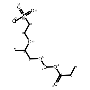 CCC(=O)OOOCC(C)OCCS(=O)(=O)Cl